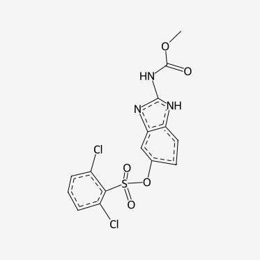 COC(=O)Nc1nc2cc(OS(=O)(=O)c3c(Cl)cccc3Cl)ccc2[nH]1